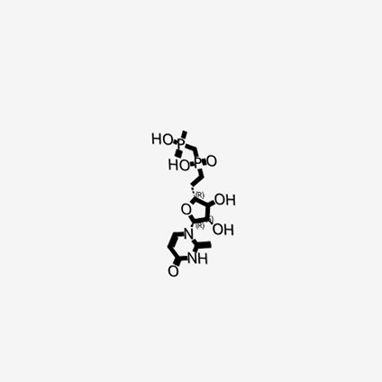 C=C1NC(=O)C=CN1[C@@H]1O[C@H](CCP(=O)(O)CP(=C)(C)O)C(O)[C@@H]1O